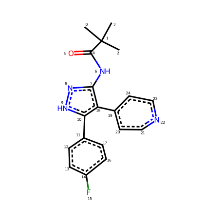 CC(C)(C)C(=O)Nc1n[nH]c(-c2ccc(F)cc2)c1-c1ccncc1